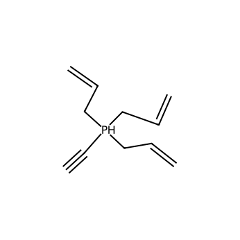 C#C[PH](CC=C)(CC=C)CC=C